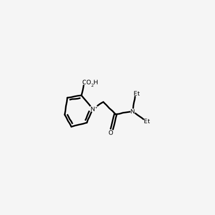 CCN(CC)C(=O)C[n+]1ccccc1C(=O)O